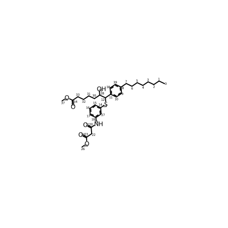 CCCCCCCCc1ccc(C(Sc2cccc(NC(=O)CC(=O)OC)c2)C(O)CCCCC(=O)OC)cc1